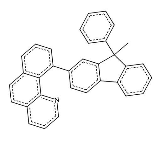 CC1(c2ccccc2)c2ccccc2-c2ccc(-c3cccc4ccc5cccnc5c34)cc21